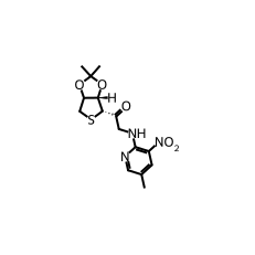 Cc1cnc(NCC(=O)[C@@H]2SCC3OC(C)(C)O[C@@H]32)c([N+](=O)[O-])c1